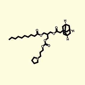 CCCCCCCCCC(=O)OCC(COC(=O)CC12C[C@H]3C[C@H](C1)C[C@@H](C2)C3)COC(=O)OCCCN1CCCC1